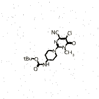 Cn1c(N2CCC(NC(=O)OC(C)(C)C)CC2)nc(C#N)c(Cl)c1=O